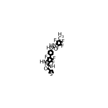 Cc1c(F)c(F)c(F)c(NC(=O)Nc2ccc(-c3c(F)c(F)c4c(NC(=O)c5ccsc5)n[nH]c4c3F)cc2)c1F